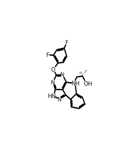 Cc1ccccc1-c1n[nH]c2nc(Oc3ccc(F)cc3F)nc(NC[C@H](C)O)c12